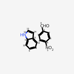 O=Cc1ccc([N+](=O)[O-])cc1.c1ccc2[nH]ccc2c1